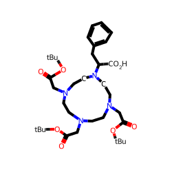 CC(C)(C)OC(=O)CN1CCN(CC(=O)OC(C)(C)C)CCN(C(Cc2ccccc2)C(=O)O)CCN(CC(=O)OC(C)(C)C)CC1